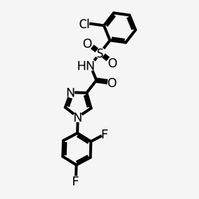 O=C(NS(=O)(=O)c1ccccc1Cl)c1cn(-c2ccc(F)cc2F)cn1